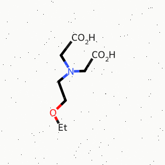 CCOCCN(CC(=O)O)CC(=O)O